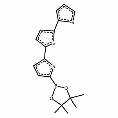 CC1(C)OB(c2ccc(-c3ccc(-c4cccs4)s3)s2)OC1(C)C